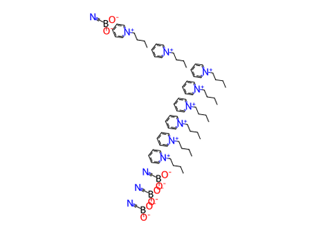 CCCC[n+]1ccccc1.CCCC[n+]1ccccc1.CCCC[n+]1ccccc1.CCCC[n+]1ccccc1.CCCC[n+]1ccccc1.CCCC[n+]1ccccc1.CCCC[n+]1ccccc1.CCCC[n+]1ccccc1.N#CB([O-])[O-].N#CB([O-])[O-].N#CB([O-])[O-].N#CB([O-])[O-]